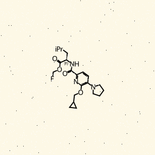 CC(C)C[C@@H](NC(=O)c1ccc(N2CCCC2)c(OCC2CC2)n1)C(=O)OCF